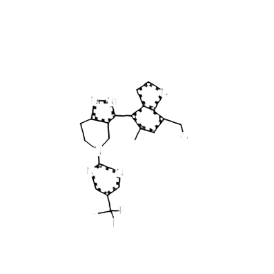 OCc1cc(F)c(-c2[nH]nc3c2CN(c2ncc(C(F)(F)F)cn2)CC3)c2cc[nH]c12